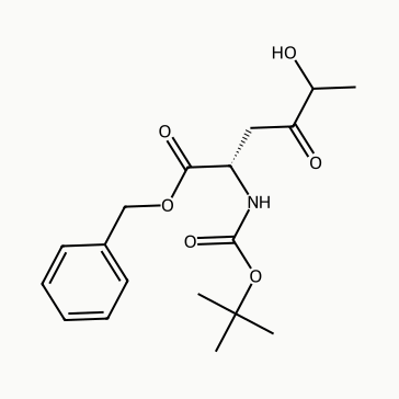 CC(O)C(=O)C[C@H](NC(=O)OC(C)(C)C)C(=O)OCc1ccccc1